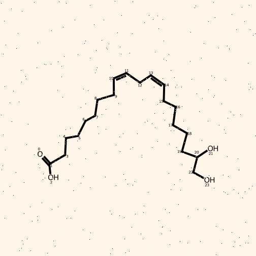 O=C(O)CCCCCCC/C=C\C/C=C\CCCCCC(O)CO